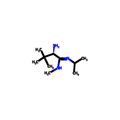 CN/C(=N\C(C)C)[C@@H](N)C(C)(C)C